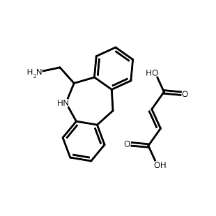 NCC1Nc2ccccc2Cc2ccccc21.O=C(O)C=CC(=O)O